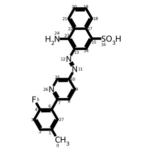 Cc1ccc(F)c(-c2ccc(/N=N/c3cc(S(=O)(=O)O)c4ccccc4c3N)cn2)c1